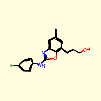 Cc1cc(CCCO)c2oc(Nc3ccc(Br)cc3)nc2c1